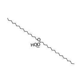 CCCCCCCCCCCCCCCCCC(=O)OCCCCCCCCCCCCCCCC.CCO